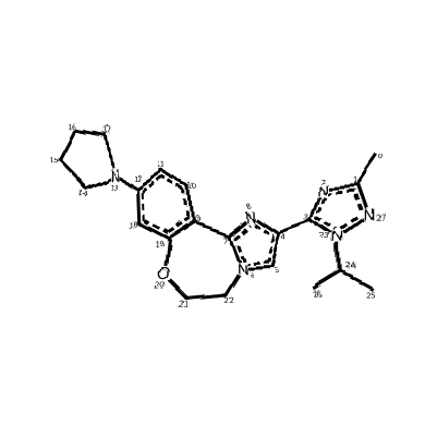 Cc1nc(-c2cn3c(n2)-c2ccc(N4CCCC4)cc2OCC3)n(C(C)C)n1